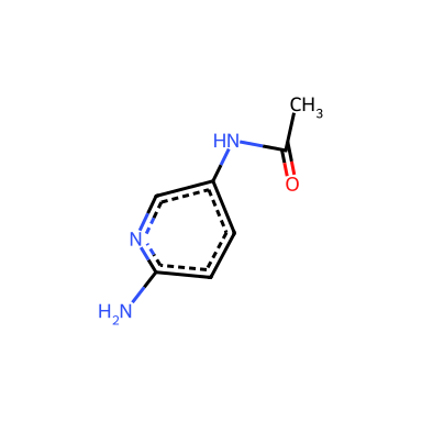 CC(=O)Nc1ccc(N)nc1